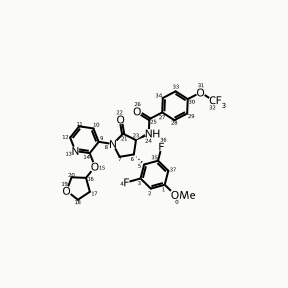 COc1cc(F)c([C@@H]2CN(c3cccnc3OC3CCOC3)C(=O)[C@H]2NC(=O)c2ccc(OC(F)(F)F)cc2)c(F)c1